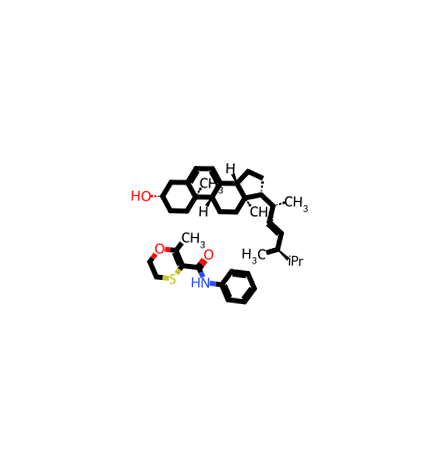 CC(C)[C@@H](C)/C=C/[C@@H](C)[C@H]1CC[C@H]2C3=CC=C4C[C@@H](O)CC[C@]4(C)[C@H]3CC[C@]12C.CC1=C(C(=O)Nc2ccccc2)SCCO1